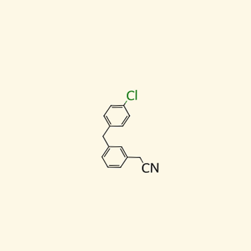 N#CCc1cccc(Cc2ccc(Cl)cc2)c1